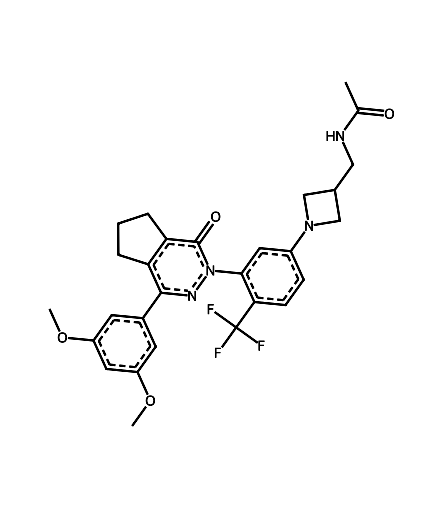 COc1cc(OC)cc(-c2nn(-c3cc(N4CC(CNC(C)=O)C4)ccc3C(F)(F)F)c(=O)c3c2CCC3)c1